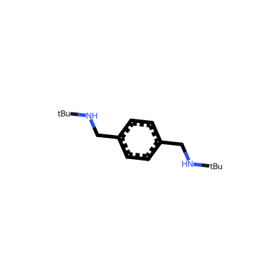 CC(C)(C)NCc1ccc(CNC(C)(C)C)cc1